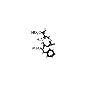 COC(Cc1ccccc1)C(C)CC(C)=C=CC(N)C(C)C(=O)O